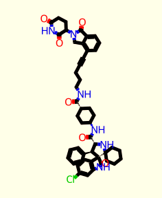 O=C1CCC(N2Cc3c(C#CCCCNC(=O)[C@H]4CC[C@H](NC(=O)[C@@H]5NC6(CCCCC6)[C@@]6(C(=O)Nc7cc(Cl)ccc76)[C@H]5c5ccccc5)CC4)cccc3C2=O)C(=O)N1